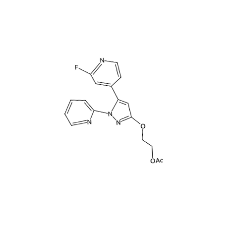 CC(=O)OCCOc1cc(-c2ccnc(F)c2)n(-c2ccccn2)n1